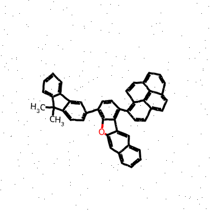 CC1(C)c2ccccc2-c2cc(-c3ccc(-c4ccc5ccc6cccc7ccc4c5c67)c4c3oc3cc5ccccc5cc34)ccc21